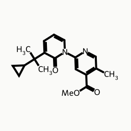 COC(=O)c1cc(-n2cccc(C(C)(C)C3CC3)c2=O)ncc1C